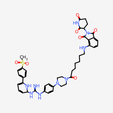 CS(=O)(=O)c1ccc(C2=CC=CC(NC(=N)Nc3ccc(N4CCN(C(=O)CCCCCCNc5cccc6c5C(=O)N(C5CCC(=O)NC5=O)C6=O)CC4)cc3)N2)cc1